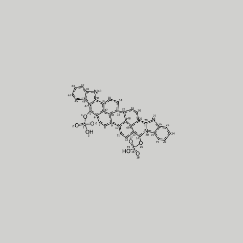 O=S(=O)(O)Oc1c2ccc3c4ccc5c(OS(=O)(=O)O)n6c7ccccc7nc6c6ccc(c7ccc(c2c37)c2nc3ccccc3n12)c4c56